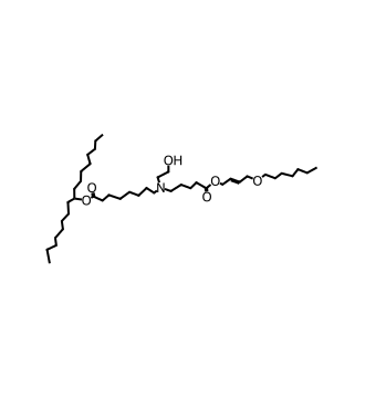 CCCCCCCCC(CCCCCCCC)OC(=O)CCCCCCCN(CCO)CCCCC(=O)OCC=CCOCCCCCCC